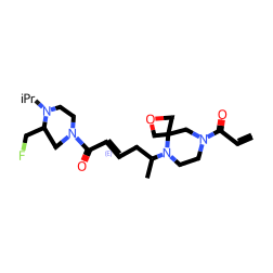 C=CC(=O)N1CCN(C(C)C/C=C/C(=O)N2CCN(C(C)C)C(CF)C2)C2(COC2)C1